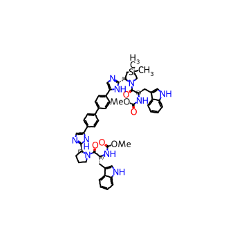 COC(=O)N[C@H](Cc1c[nH]c2ccccc12)C(=O)N1CCC[C@H]1c1ncc(-c2ccc(-c3ccc(-c4cnc([C@@H]5C[Si](C)(C)CN5C(=O)[C@@H](Cc5c[nH]c6ccccc56)NC(=O)OC)[nH]4)cc3)cc2)[nH]1